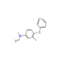 Cc1cc(N(C)C=S)ccc1Sc1ccccc1